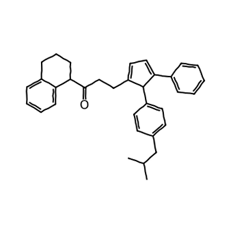 CC(C)Cc1ccc(C2C(CCC(=O)C3CCCc4ccccc43)=CC=C2c2ccccc2)cc1